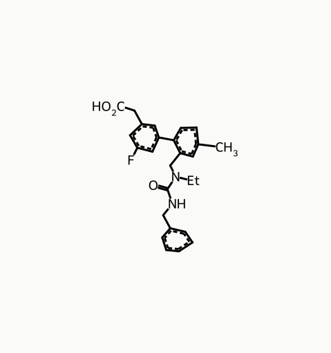 CCN(Cc1cc(C)ccc1-c1cc(F)cc(CC(=O)O)c1)C(=O)NCc1ccccc1